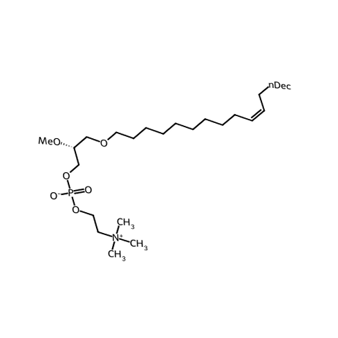 CCCCCCCCCCC/C=C\CCCCCCCCCOC[C@H](COP(=O)([O-])OCC[N+](C)(C)C)OC